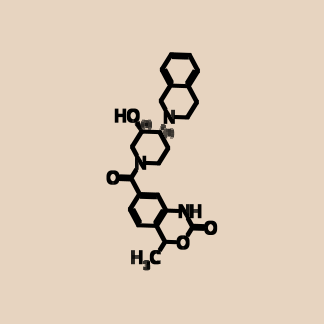 CC1OC(=O)Nc2cc(C(=O)N3CC[C@@H](N4CCc5ccccc5C4)[C@H](O)C3)ccc21